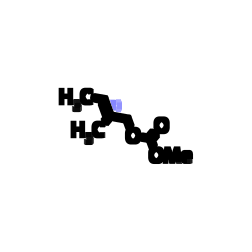 C/C=C(\C)COC(=O)OC